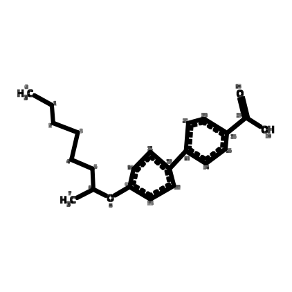 CCCCCCC(C)Oc1ccc(-c2ccc(C(=O)O)cc2)cc1